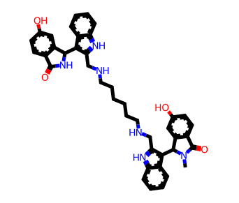 CN1C(=O)c2ccc(O)cc2C1c1c(CNCCCCCCNCc2[nH]c3ccccc3c2C2NC(=O)c3ccc(O)cc32)[nH]c2ccccc12